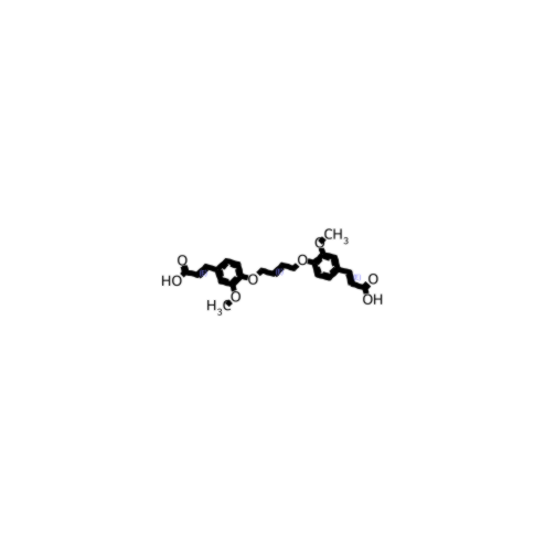 COc1cc(/C=C/C(=O)O)ccc1OC/C=C/COc1ccc(/C=C/C(=O)O)cc1OC